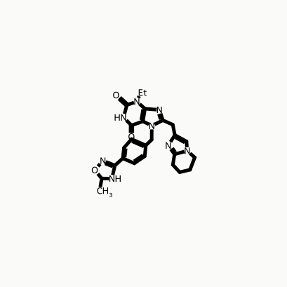 CCn1c(=O)[nH]c(=O)c2c1nc(Cc1cn3c(n1)CCCC3)n2Cc1ccc(C2=NOC(C)N2)cc1